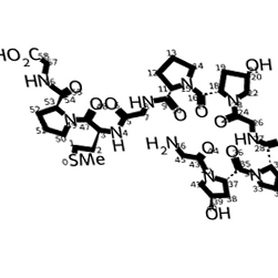 CSCC[C@H](NC(=O)CNC(=O)[C@@H]1CCCN1C(=O)[C@@H]1C[C@@H](O)CN1C(=O)CNC(=O)[C@@H]1CCCN1C(=O)[C@@H]1C[C@@H](O)CN1C(=O)CN)C(=O)N1CCC[C@H]1C(=O)NCC(=O)O